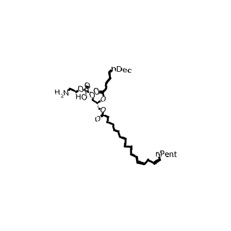 CCCCC/C=C\C/C=C\CCCCCCCCCCCC(=O)OC[C@H](COP(=O)(O)OCCN)OC(=O)CCCCCCCCCCCCCC